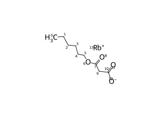 CCCCCCOC(=O)CC(=O)[O-].[Rb+]